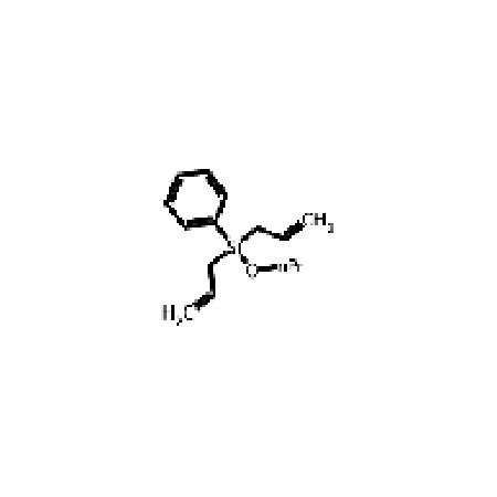 C=CC[Si](CC=C)(OCCC)c1ccccc1